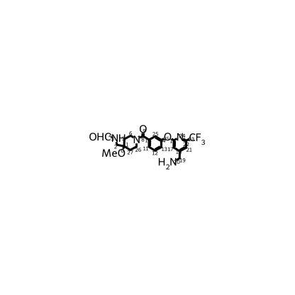 COC1(CNC=O)CCN(C(=O)c2cccc(Oc3cc(CN)cc(C(F)(F)F)n3)c2)CC1